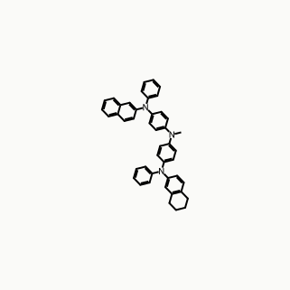 CN(c1ccc(N(c2ccccc2)c2ccc3c(c2)CCCC3)cc1)c1ccc(N(c2ccccc2)c2ccc3ccccc3c2)cc1